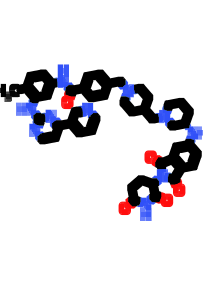 Cc1ccc(NC(=O)c2ccc(CN3CCC(CN4CCC[C@H](Nc5ccc6c(c5)C(=O)N(C5CCC(=O)NC5=O)C6=O)C4)CC3)cc2)cc1Nc1nccc(-c2cccnc2)n1